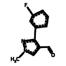 Cn1cc(C=O)c(-c2cccc(F)c2)n1